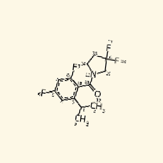 CC(C)c1cc(F)cc(F)c1C(=O)N1CCC(F)(F)C1